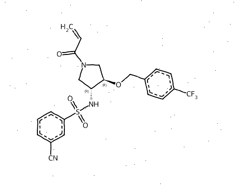 C=CC(=O)N1C[C@@H](NS(=O)(=O)c2cccc(C#N)c2)[C@H](OCc2ccc(C(F)(F)F)cc2)C1